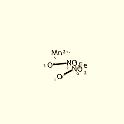 O=[N+]([O-])[O-].O=[N+]([O-])[O-].[Fe].[Mn+2]